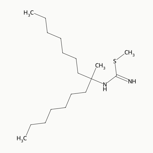 CCCCCCCC(C)(CCCCCCC)NC(=N)SC